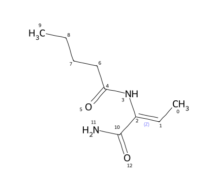 C/C=C(\NC(=O)CCCC)C(N)=O